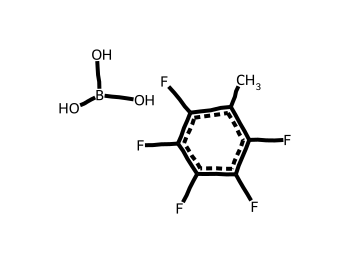 Cc1c(F)c(F)c(F)c(F)c1F.OB(O)O